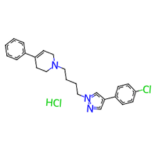 Cl.Clc1ccc(-c2cnn(CCCCN3CC=C(c4ccccc4)CC3)c2)cc1